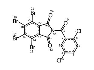 O=C(c1cc(Cl)ccc1Cl)N1C(=O)c2c(Br)c(Br)c(Br)c(Br)c2C1=O